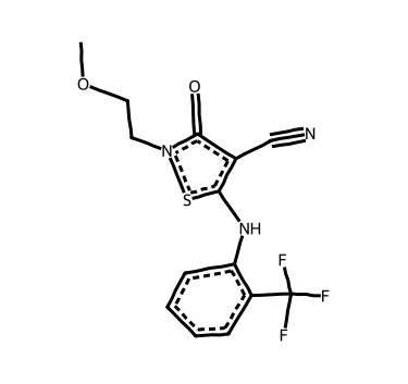 COCCn1sc(Nc2ccccc2C(F)(F)F)c(C#N)c1=O